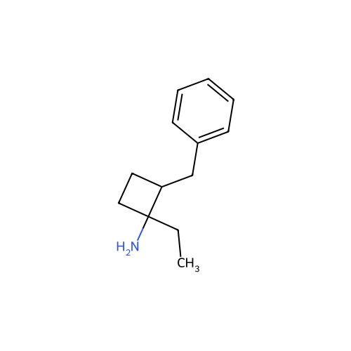 CCC1(N)CCC1Cc1ccccc1